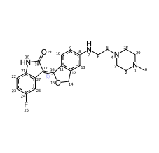 CN1CCN(CCNc2ccc3c(c2)CO/C3=C2/C(=O)Nc3ccc(F)cc32)CC1